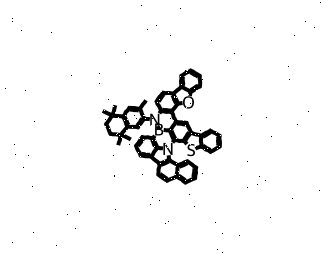 Cc1cc2c(cc1N1B3c4c(cc5c(sc6ccccc65)c4-n4c5c3cccc5c3ccc5ccccc5c34)-c3c1ccc1c3oc3ccccc31)C(C)(C)CCC2(C)C